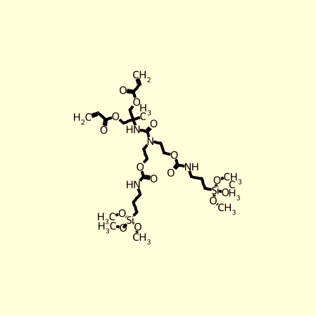 C=CC(=O)OCC(C)(COC(=O)C=C)NC(=O)N(CCOC(=O)NCCC[Si](OC)(OC)OC)CCOC(=O)NCCC[Si](OC)(OC)OC